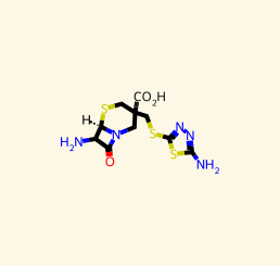 Nc1nnc(SCC2(C(=O)O)CS[C@@H]3C(N)C(=O)N3C2)s1